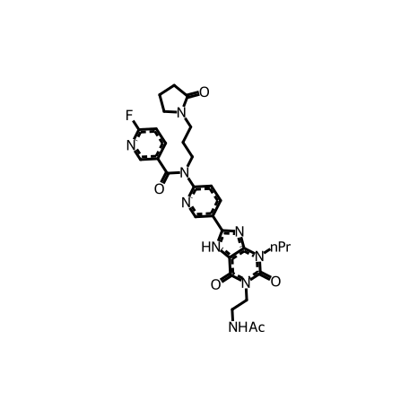 CCCn1c(=O)n(CCNC(C)=O)c(=O)c2[nH]c(-c3ccc(N(CCCN4CCCC4=O)C(=O)c4ccc(F)nc4)nc3)nc21